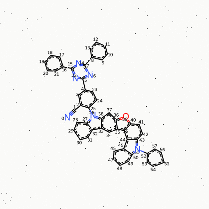 N#Cc1cc(-c2nc(-c3ccccc3)nc(-c3ccccc3)n2)ccc1-n1c2ccccc2c2cc3c(cc21)oc1ccc2c(c4ccccc4n2-c2ccccc2)c13